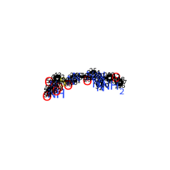 Nc1ncnc2c1c(-c1ccc(Oc3ccccc3)cc1)nn2[C@@H]1CCCN(C(=O)/C=C/CN2CCN(C(=O)CSc3cccc4c3C(=O)N(C3CCC(=O)NC3=O)C4=O)CC2)C1